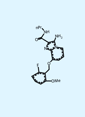 CCCNC(=O)c1nc2c(OCc3c(F)cccc3OC)cccn2c1N